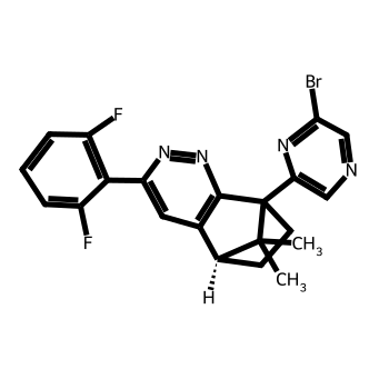 CC1(C)[C@H]2CCC1(c1cncc(Br)n1)c1nnc(-c3c(F)cccc3F)cc12